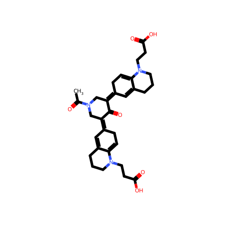 CC(=O)N1CC(=C2C=C3CCCN(CCC(=O)O)C3=CC2)C(=O)C(=C2C=C3CCCN(CCC(=O)O)C3=CC2)C1